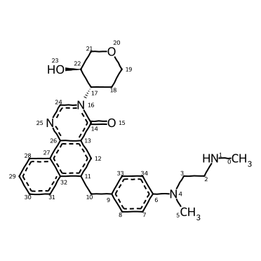 CNCCN(C)c1ccc(Cc2cc3c(=O)n([C@H]4CCOC[C@@H]4O)cnc3c3ccccc23)cc1